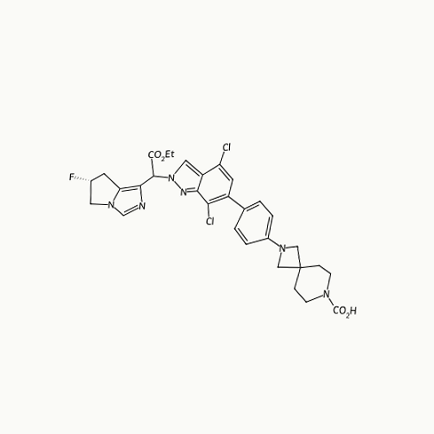 CCOC(=O)C(c1ncn2c1C[C@@H](F)C2)n1cc2c(Cl)cc(-c3ccc(N4CC5(CCN(C(=O)O)CC5)C4)cc3)c(Cl)c2n1